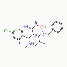 C=C(O)C(=N)/C(=C(\NCc1ccccc1)C(C)C)C(NC)c1ccc(Cl)cc1C